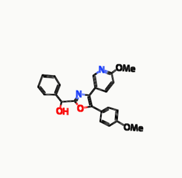 COc1ccc(-c2oc(C(O)c3ccccc3)nc2-c2ccc(OC)nc2)cc1